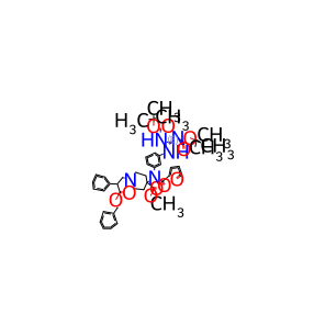 COC(=O)C1(N(C(=O)c2ccco2)c2cccc(N/C(=N\C(=O)OC(C)(C)C)NC(=O)OC(C)(C)C)c2)CCN(CC(C(=O)OCc2ccccc2)c2ccccc2)CC1